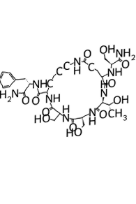 C[C@@H](O)[C@@H]1NC(=O)C(N[C@@H](CO)C(N)=O)CCC(=O)NCCCCC(C(=O)N[C@@H](Cc2ccccc2)C(N)=O)NC(=O)C(CO)NC(=O)[C@H](CO)NC1=O